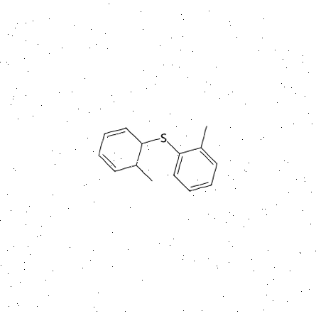 Cc1ccccc1SC1C=CC=CC1C